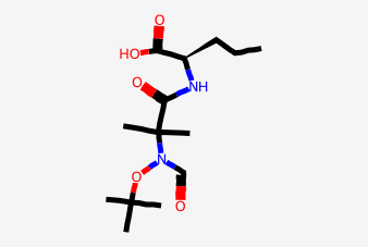 CCC[C@@H](NC(=O)C(C)(C)N(C=O)OC(C)(C)C)C(=O)O